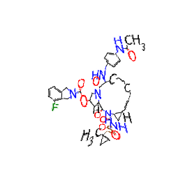 CC(=O)Nc1ccc(N[C@H]2CCCCC/C=C\[C@H]3C[C@@]3(C(=O)NS(=O)(=O)C3(C)CC3)NC(=O)[C@@H]3C[C@@H](OC(=O)N4Cc5cccc(F)c5C4)CN3C2=O)cc1